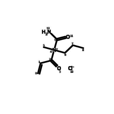 C=CC(=O)[N+](C)(CCC)C(N)=O.[Cl-]